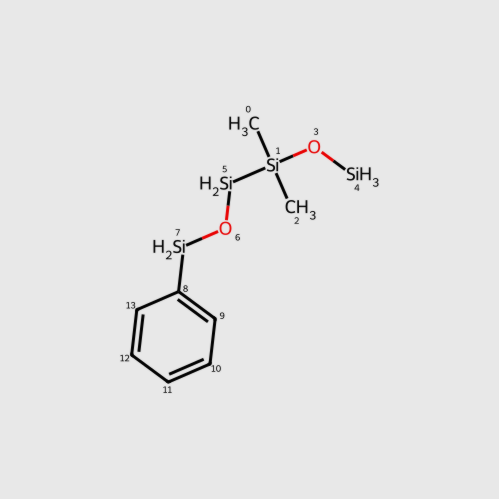 C[Si](C)(O[SiH3])[SiH2]O[SiH2]c1ccccc1